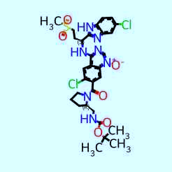 CC(C)(C)OC(=O)NC[C@H]1CCCN1C(=O)c1cc2c(cc1Cl)c(N[C@@H](CCS(C)(=O)=O)c1nc3cc(Cl)ccc3[nH]1)nc[n+]2[O-]